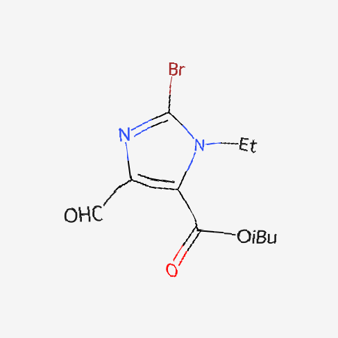 CCn1c(Br)nc(C=O)c1C(=O)OCC(C)C